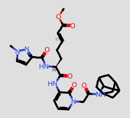 COC(=O)/C=C/CC[C@H](NC(=O)c1ccn(C)n1)C(=O)Nc1cccn(CC(=O)NC2C3CC4CC(C3)C2C4)c1=O